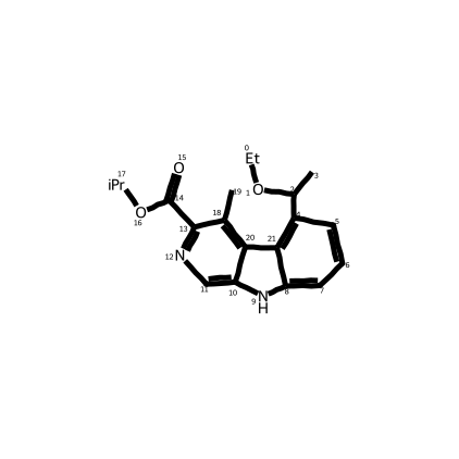 CCOC(C)c1cccc2[nH]c3cnc(C(=O)OC(C)C)c(C)c3c12